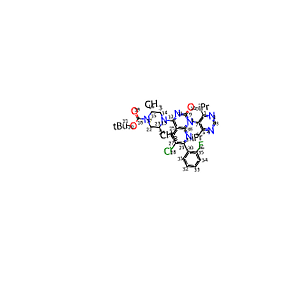 CC(C)c1ncnc(C(C)C)c1-n1c(=O)nc(N2C[C@@H](C)N(C(=O)OC(C)(C)C)C[C@@H]2C)c2cc(Cl)c(-c3ccccc3F)nc21